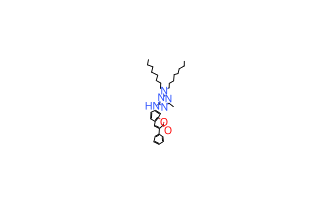 CCCCCCCCN(CCCCCCCC)c1nc(C)nc(Nc2ccc3cc(-c4ccccc4)c(=O)oc3c2)n1